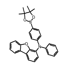 CC1(C)OB(c2ccc(N(c3ccccc3)c3cccc4c3oc3ccccc34)cc2)OC1(C)C